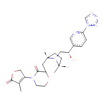 CC1=C(N2CCO[C@@]3(C[C@H]4CC[C@@H](C3)N4C[C@H](O)c3ccc(-n4cnnn4)nc3)C2=O)COC1=O